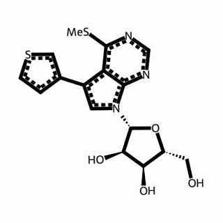 CSc1ncnc2c1c(-c1ccsc1)cn2[C@@H]1O[C@H](CO)[C@@H](O)[C@H]1O